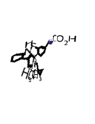 C[C@@H]1Cc2c([nH]c3ccccc23)[C@@H](c2ccc(/C=C/C(=O)O)cc2F)N1CC1(C)CC1